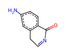 Nc1ccc2c(c1)CC=NC2=O